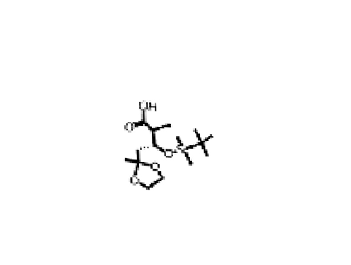 CC(C(=O)O)[C@@H](CC1(C)OCCO1)O[Si](C)(C)C(C)(C)C